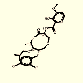 COc1ccnc(C(=O)N[C@H]2COC[C@H](Cc3ccc(Cl)cc3Cl)[C@@H](OCC(C)C)[C@H](C)OC2=O)c1O